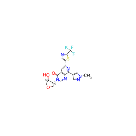 Cn1cc(-c2nc(-c3cnc(C(F)(F)F)s3)cc3c(=O)n([C@@H]4COC[C@H]4O)cnc23)cn1